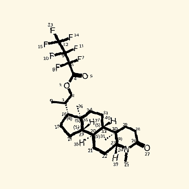 CC(COC(=O)C(F)(F)C(F)(F)C(F)(F)F)[C@H]1CC[C@H]2[C@@H]3CC[C@H]4N(C)C(=O)CC[C@]4(C)[C@H]3CC[C@]12C